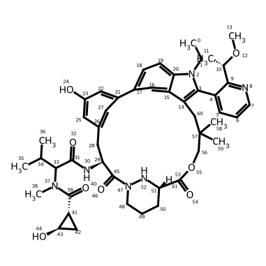 CCn1c(-c2cccnc2[C@H](C)OC)c2c3cc(ccc31)-c1cc(O)cc(c1)C[C@H](NC(=O)C(C(C)C)N(C)C(=O)[C@@H]1C[C@H]1O)C(=O)N1CCC[C@H](N1)C(=O)OCC(C)(C)C2